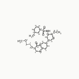 COCCOc1cnc2ccc(-c3cnc(OC)c(NS(=O)(=O)c4cccc(C)c4)c3)cn2c1=O